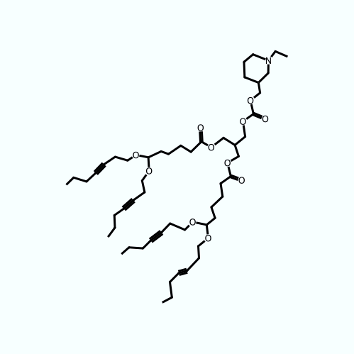 CCCC#CCCOC(CCCCC(=O)OCC(COC(=O)CCCCC(OCCC#CCCC)OCCC#CCCC)COC(=O)OCC1CCCN(CC)C1)OCCC#CCCC